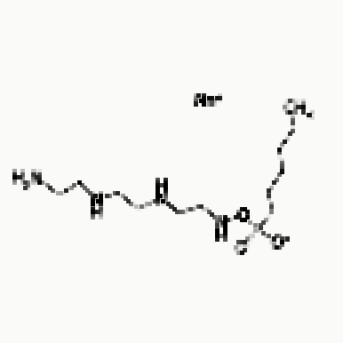 CCCCCCP(=O)([O-])ONCCNCCNCCN.[Na+]